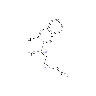 C=C/C=C\C=C(/C)c1nc2ccccc2cc1CC